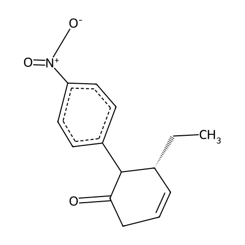 CC[C@@H]1C=CCC(=O)C1c1ccc([N+](=O)[O-])cc1